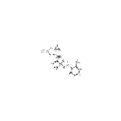 CN1CC(NC(=O)C(C)(C)COc2ncccc2C(F)(F)F)C2(CC2)C1